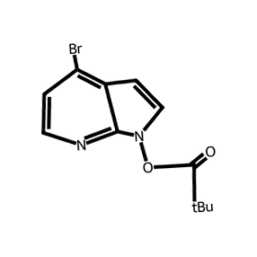 CC(C)(C)C(=O)On1ccc2c(Br)ccnc21